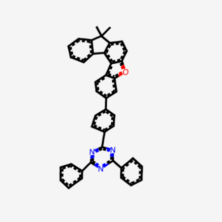 CC1(C)c2ccccc2-c2c1ccc1oc3cc(-c4ccc(-c5nc(-c6ccccc6)nc(-c6ccccc6)n5)cc4)ccc3c21